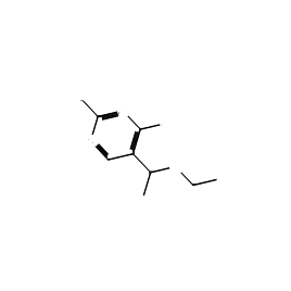 CCOC(C)c1cnc(Cl)nc1Cl